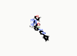 C[C@@]1(c2cccc(Nc3ccc(C4C=CC=C4)nc3)c2Cl)CC(=O)N(C2CCOCC2)C(=N)N1